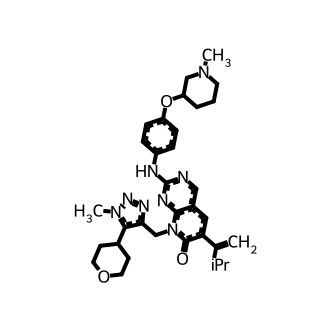 C=C(c1cc2cnc(Nc3ccc(OC4CCCN(C)C4)cc3)nc2n(Cc2nnn(C)c2C2CCOCC2)c1=O)C(C)C